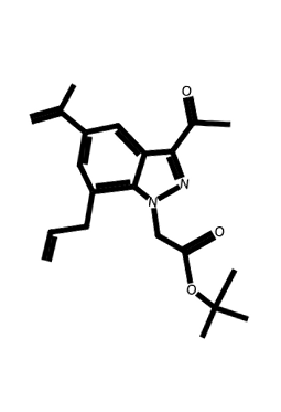 C=CCc1cc(C(=C)C)cc2c(C(C)=O)nn(CC(=O)OC(C)(C)C)c12